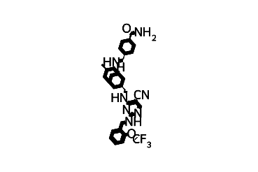 C[C@@H]1CC2C[C@@H](CNc3nc(NCc4ccccc4OC(F)(F)F)ncc3C#N)C[C@@H](C2)[C@H]1NC[C@H]1CC[C@H](C(N)=O)CC1